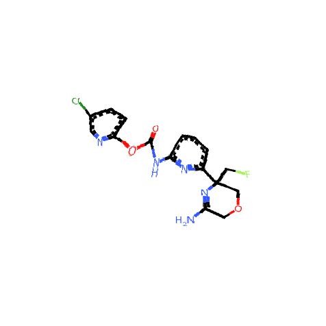 NC1=NC(CF)(c2cccc(NC(=O)Oc3ccc(Cl)cn3)n2)COC1